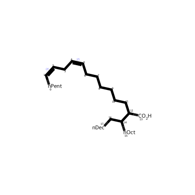 CCCCC/C=C\C/C=C\CCCCCCC(C(=O)O)C(CCCCCCCC)CCCCCCCCCCC